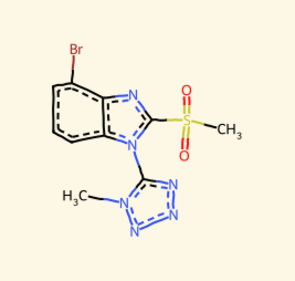 Cn1nnnc1-n1c(S(C)(=O)=O)nc2c(Br)cccc21